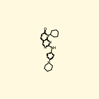 O=c1ccc2cnc(Nc3ccc(N4CCCCC4)cc3)nc2n1C1CCCCC1